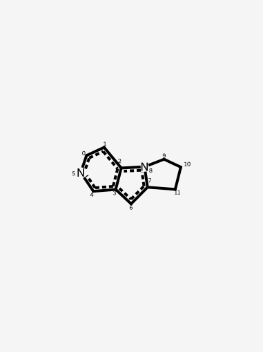 c1cc2c(cn1)cc1n2CCC1